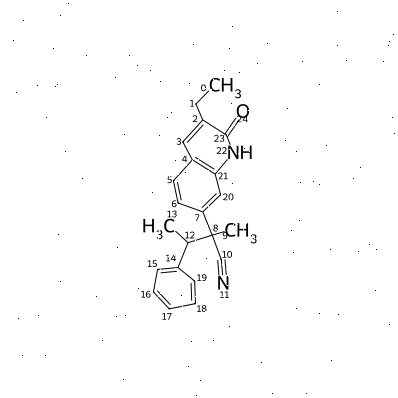 CCc1cc2ccc(C(C)(C#N)C(C)c3ccccc3)cc2[nH]c1=O